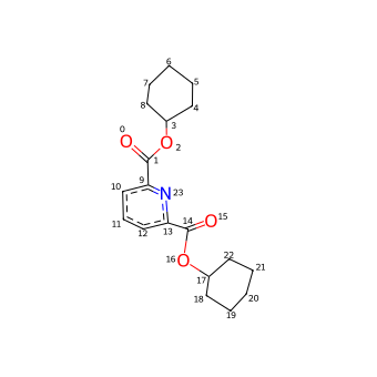 O=C(OC1CCCCC1)c1cccc(C(=O)OC2CCCCC2)n1